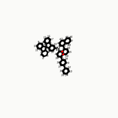 C1=CC2=C(CC1)C1(c3ccccc32)c2ccccc2-c2cc(N(c3ccc(-c4ccc(-c5ccccc5)cc4)cc3)c3ccc4ccccc4c3-c3ccccc3)ccc21